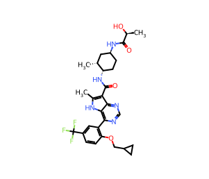 Cc1[nH]c2c(-c3cc(C(F)(F)F)ccc3OCC3CC3)ncnc2c1C(=O)N[C@H]1CC[C@H](NC(=O)[C@H](C)O)C[C@H]1C